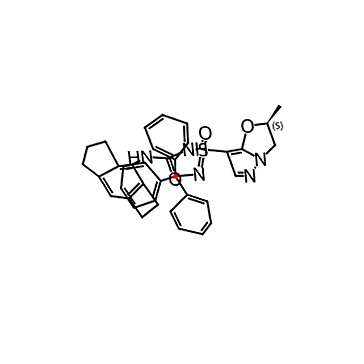 C[C@H]1Cn2ncc(S(=O)(=NC(c3ccccc3)(c3ccccc3)c3ccccc3)NC(=O)Nc3c4c(cc5c3CC5)CCC4)c2O1